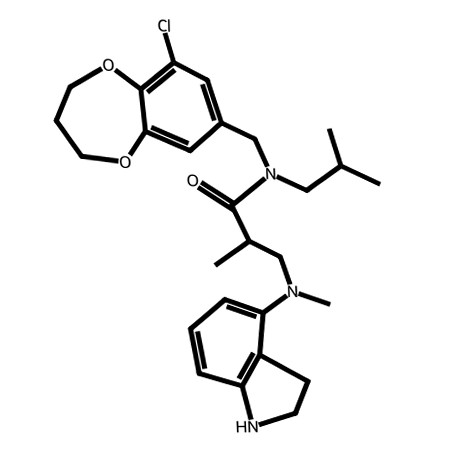 CC(C)CN(Cc1cc(Cl)c2c(c1)OCCCO2)C(=O)C(C)CN(C)c1cccc2c1CCN2